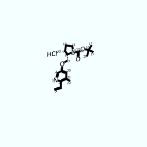 C=Cc1ncc(OC[C@@H]2CCCN2C(=O)OC(C)(C)C)cc1C.Cl